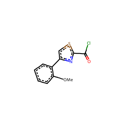 COc1ccccc1-c1csc(C(=O)Cl)n1